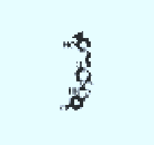 C[C@@H]1CN(CCCN2CCC3(CC3)[C@H](O)C2)C(=O)CCN1C(=O)Nc1cc(Cl)ccc1F